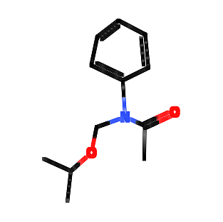 CC(=O)N(COC(C)C)c1ccccc1